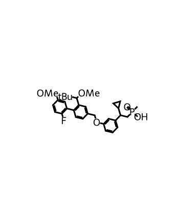 COc1ccc(F)c(-c2ccc(COc3cccc(C(CP(C)(=O)O)C4CC4)c3)cc2C(OC)C(C)(C)C)c1